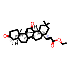 CCOC(=O)/C=C/[C@]12CCC(C)(C)C[C@H]1[C@H]1C(=O)C=C3[C@@]4(C)CCC(=O)[C@@H](C)[C@@H]4CC[C@@]3(C)[C@]1(C)CC2